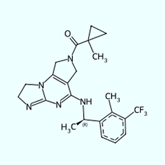 Cc1c([C@@H](C)NC2=NC3=NCCN3C3=C2CN(C(=O)C2(C)CC2)C3)cccc1C(F)(F)F